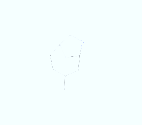 CC1CCC2CN[C@@H](C1)C2